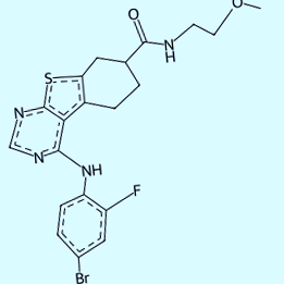 COCCNC(=O)C1CCc2c(sc3ncnc(Nc4ccc(Br)cc4F)c23)C1